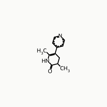 CC1=C(c2ccncc2)CC(C)C(=O)N1